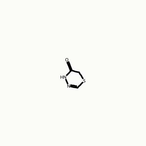 O=C1CSC=NN1